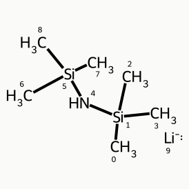 C[Si](C)(C)N[Si](C)(C)C.[Li-]